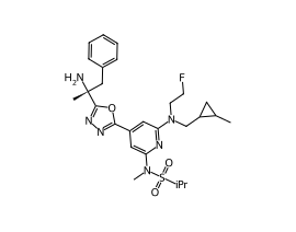 CC1CC1CN(CCF)c1cc(-c2nnc([C@](C)(N)Cc3ccccc3)o2)cc(N(C)S(=O)(=O)C(C)C)n1